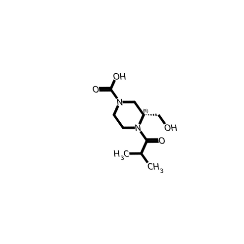 CC(C)C(=O)N1CCN(C(=O)O)C[C@@H]1CO